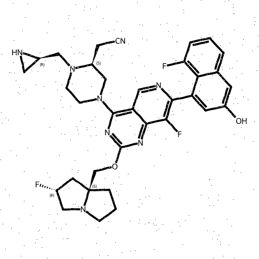 N#CC[C@H]1CN(c2nc(OC[C@@]34CCCN3C[C@H](F)C4)nc3c(F)c(-c4cc(O)cc5cccc(F)c45)ncc23)CCN1C[C@H]1CN1